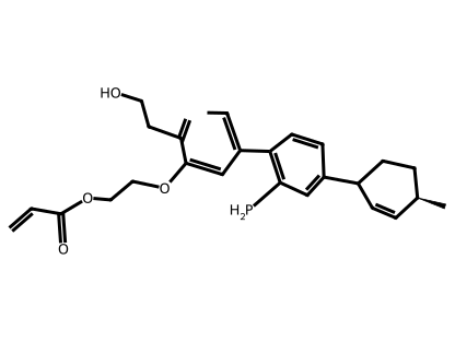 C=CC(=O)OCCO/C(=C/C(=C\C)c1ccc(C2C=C[C@H](C)CC2)cc1P)C(=C)CCO